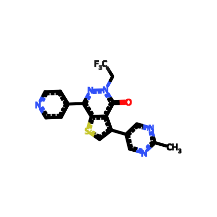 Cc1ncc(-c2csc3c(-c4ccncc4)nn(CC(F)(F)F)c(=O)c23)cn1